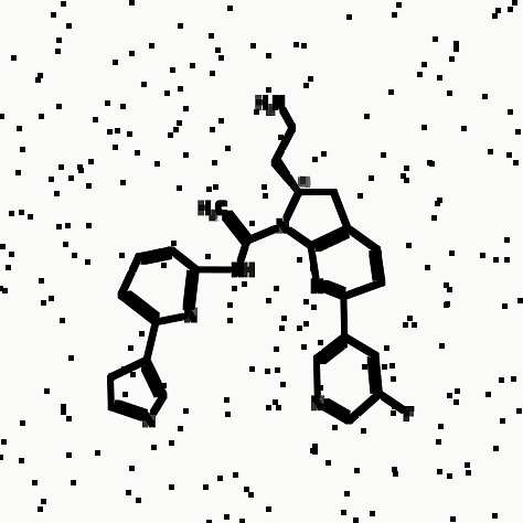 C=C(Nc1cccc(C2=CN=CC2)n1)N1c2nc(-c3cncc(F)c3)ccc2C[C@@H]1CCN